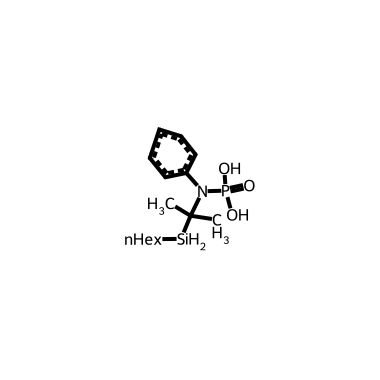 CCCCCC[SiH2]C(C)(C)N(c1ccccc1)P(=O)(O)O